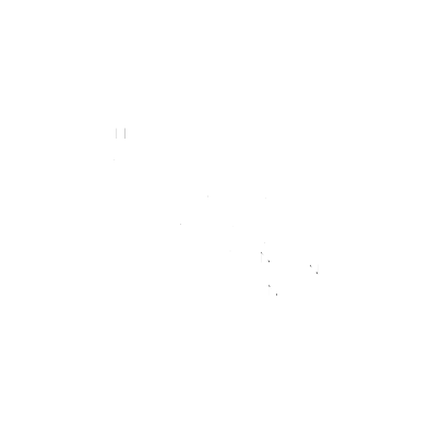 COc1ccc(C(=O)Cn2cncn2)cc1